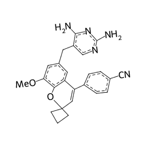 COc1cc(Cc2cnc(N)nc2N)cc2c1OC1(C=C2c2ccc(C#N)cc2)CCC1